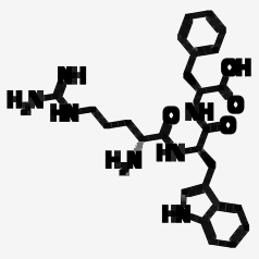 N=C(N)NCCC[C@@H](N)C(=O)N[C@H](Cc1c[nH]c2ccccc12)C(=O)N[C@@H](Cc1ccccc1)C(=O)O